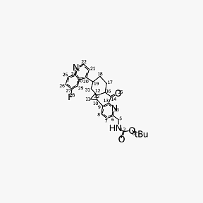 CC(C)(C)OC(=O)NCc1ccc(C2CC2)c(C(=O)C2CCC(c3ccnc4ccc(F)cc34)CC2)n1